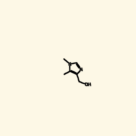 Cc1c(CO)ncn1C